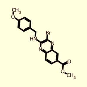 COC(=O)c1ccc2nc(NCc3ccc(OC)cc3)c(Br)nc2c1